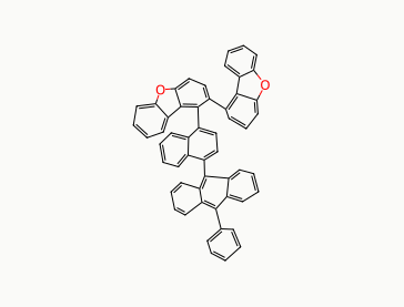 c1ccc(-c2c3ccccc3c(-c3ccc(-c4c(-c5cccc6oc7ccccc7c56)ccc5oc6ccccc6c45)c4ccccc34)c3ccccc23)cc1